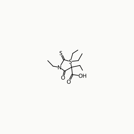 CCN1C(=O)C(CC)(C(=O)O)S(CC)(CC)C1=S